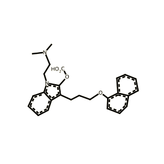 CN(C)CCn1c(OC(=O)O)c(CCCOc2cccc3ccccc23)c2ccccc21